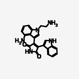 NCCn1cc(C2=C(c3c[nH]c4ccccc34)C(=O)NC2=O)c2c(N)cccc21